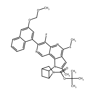 COCOc1cc(-c2ncc3c(nc(SC)c4cc(C)n(C5C6CC5N(C(=O)OC(C)(C)C)C6)c43)c2F)c2ccccc2c1